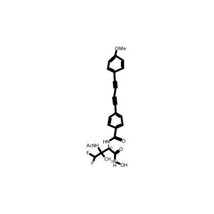 COc1ccc(C#CC#Cc2ccc(C(=O)N[C@H](C(=O)NO)C(C)(NC(C)=O)C(F)F)cc2)cc1